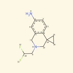 Nc1ccc2c(c1)CN(CC(F)F)CC21CC1